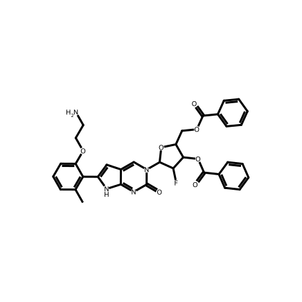 Cc1cccc(OCCN)c1-c1cc2cn(C3OC(COC(=O)c4ccccc4)C(OC(=O)c4ccccc4)C3F)c(=O)nc2[nH]1